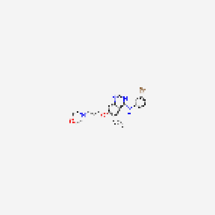 O=[N+]([O-])c1cc2c(Nc3cccc(Br)c3)ncnc2cc1OCCCN1CCOCC1